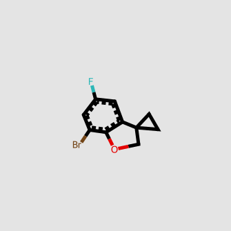 Fc1cc(Br)c2c(c1)C1(CC1)CO2